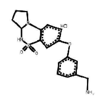 Cl.NCc1cccc(Oc2ccc3c(c2)S(=O)(=O)NC2CCCN32)c1